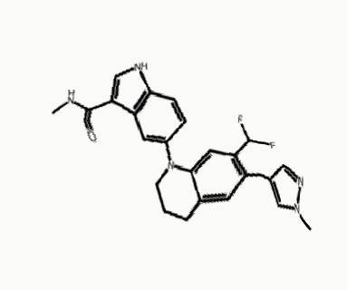 CNC(=O)c1c[nH]c2ccc(N3CCCc4cc(-c5cnn(C)c5)c(C(F)F)cc43)cc12